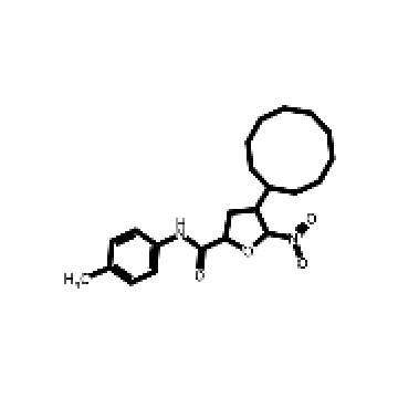 Cc1ccc(NC(=O)C2CC(C3CCCCCCCCC3)C([N+](=O)[O-])O2)cc1